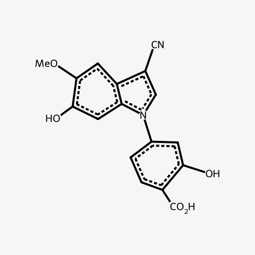 COc1cc2c(C#N)cn(-c3ccc(C(=O)O)c(O)c3)c2cc1O